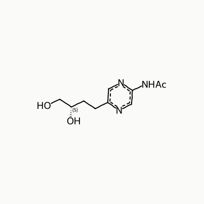 CC(=O)Nc1cnc(CC[C@H](O)CO)cn1